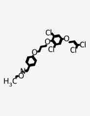 CCO/N=C/c1ccc(OCCCOc2c(Cl)cc(OCC=C(Cl)Cl)cc2Cl)cc1